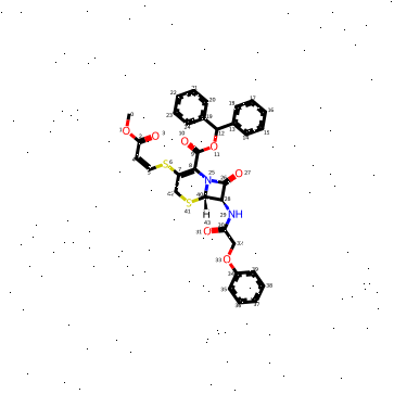 COC(=O)/C=C\SC1=C(C(=O)OC(c2ccccc2)c2ccccc2)N2C(=O)[C@@H](NC(=O)COc3ccccc3)[C@@H]2SC1